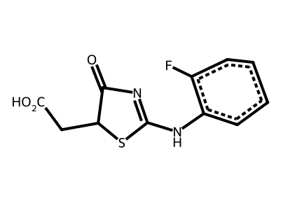 O=C(O)CC1SC(Nc2ccccc2F)=NC1=O